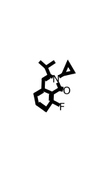 CC(C)c1cc2cccc(F)c2c(=O)n1C1CC1